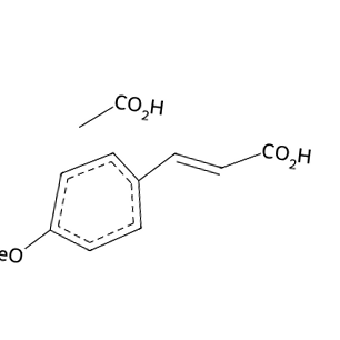 CC(=O)O.COc1ccc(/C=C/C(=O)O)cc1